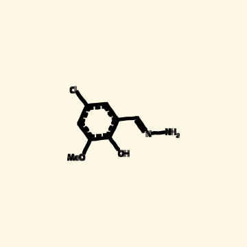 COc1cc(Cl)cc(C=NN)c1O